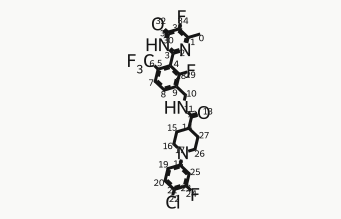 Cc1nc(-c2c(C(F)(F)F)ccc(CNC(=O)C3CCN(c4ccc(Cl)c(F)c4)CC3)c2F)[nH]c(=O)c1F